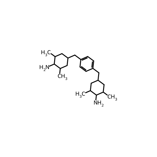 CC1CC(Cc2ccc(CC3CC(C)C(N)C(C)C3)cc2)CC(C)C1N